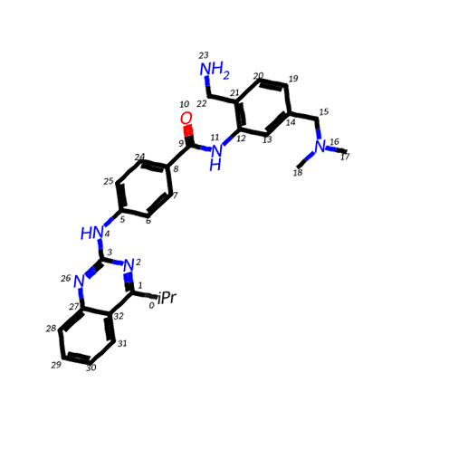 CC(C)c1nc(Nc2ccc(C(=O)Nc3cc(CN(C)C)ccc3CN)cc2)nc2ccccc12